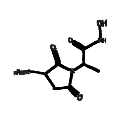 CCCCCC1CC(=O)N(C(C)C(=O)NO)C1=O